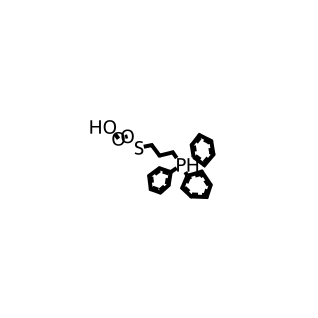 OOOSCCC[PH](c1ccccc1)(c1ccccc1)c1ccccc1